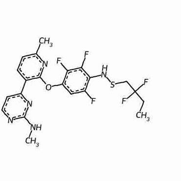 CCC(F)(F)CSNc1c(F)cc(Oc2nc(C)ccc2-c2ccnc(NC)n2)c(F)c1F